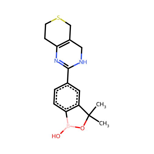 CC1(C)OB(O)c2ccc(C3=NC4=C(CN3)CSCC4)cc21